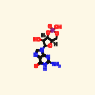 Nc1nc2c(ncn2C2O[C@@H]3COP(=O)(O)O[C@@H]3[C@@H]2O)c(=O)[nH]1